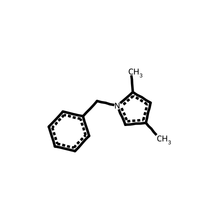 Cc1cc(C)n(Cc2ccccc2)c1